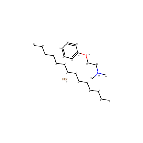 Br.CCCCCCCCCCCCCC.CN(C)CCOc1ccccc1